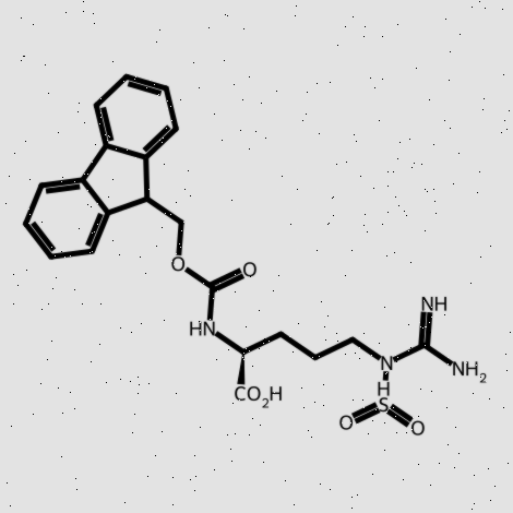 N=C(N)N(CCC[C@H](NC(=O)OCC1c2ccccc2-c2ccccc21)C(=O)O)[SH](=O)=O